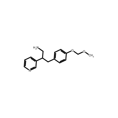 COCOc1ccc(CC(CN)c2cccnc2)cc1